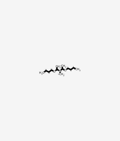 [CH2]N(C(C)OCCCC)C(C)OCCCC